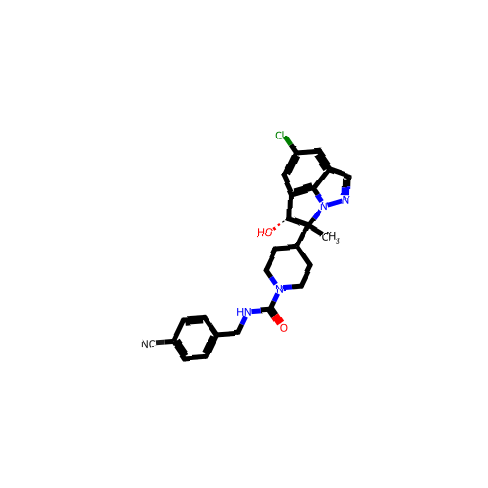 CC1(C2CCN(C(=O)NCc3ccc(C#N)cc3)CC2)[C@H](O)c2cc(Cl)cc3cnn1c23